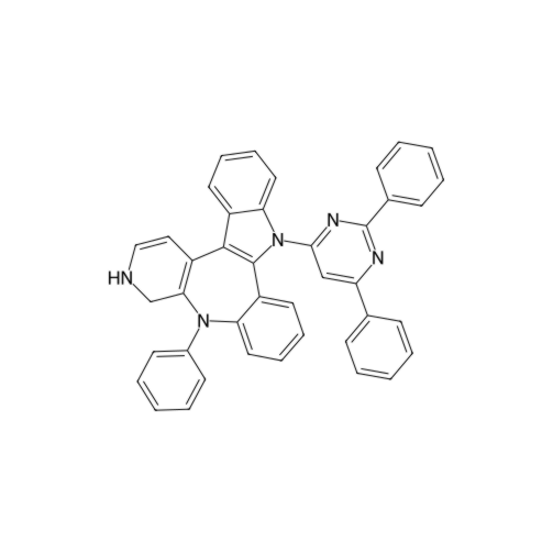 C1=CC2=C(CN1)N(c1ccccc1)c1ccccc1-c1c2c2ccccc2n1-c1cc(-c2ccccc2)nc(-c2ccccc2)n1